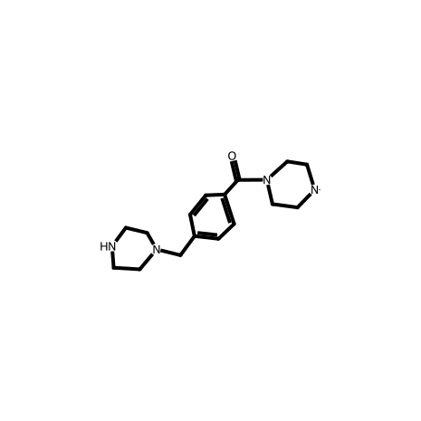 O=C(c1ccc(CN2CCNCC2)cc1)N1CC[N]CC1